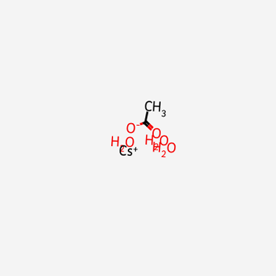 CC(=O)[O-].O.O.O.[Cs+]